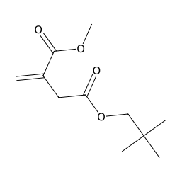 C=C(CC(=O)OCC(C)(C)C)C(=O)OC